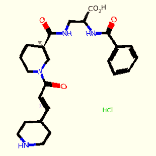 Cl.O=C(NC(CNC(=O)[C@@H]1CCCN(C(=O)/C=C/C2CCNCC2)C1)C(=O)O)c1ccccc1